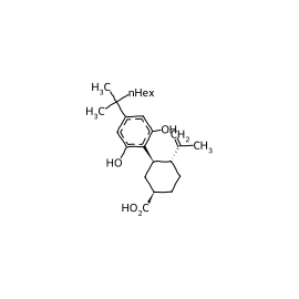 C=C(C)[C@@H]1CC[C@@H](C(=O)O)C[C@H]1c1c(O)cc(C(C)(C)CCCCCC)cc1O